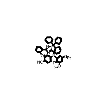 CCOc1cc(OC(C)C)c(F)c(N(Cc2nc(-c3ccccc3OC)nn2C(c2ccccc2)(c2ccccc2)c2ccccc2)c2ccc(C#N)cc2)c1